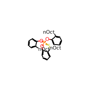 CCCCCCCCc1ccccc1OP(=S)(Oc1ccccc1CCCCCCCC)Oc1ccccc1CCCCCCCC